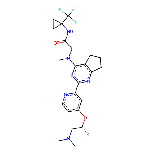 C[C@H](CN(C)C)Oc1ccnc(-c2nc3c(c(N(C)CC(=O)NC4(C(F)(F)F)CC4)n2)CCC3)c1